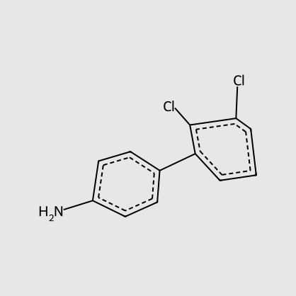 Nc1ccc(-c2cccc(Cl)c2Cl)cc1